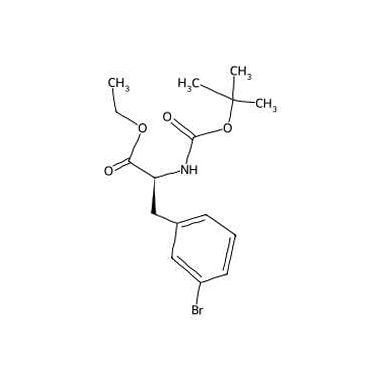 CCOC(=O)[C@H](Cc1cccc(Br)c1)NC(=O)OC(C)(C)C